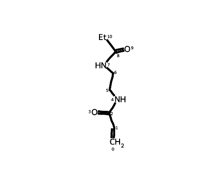 C=CC(=O)NCCNC(=O)CC